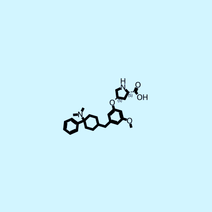 COc1cc(CC2CCC(c3ccccc3)(N(C)C)CC2)cc(O[C@@H]2CN[C@H](C(=O)O)C2)c1